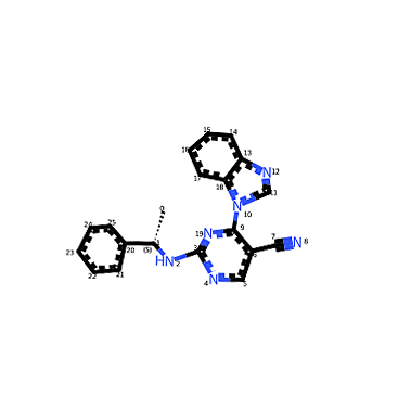 C[C@H](Nc1ncc(C#N)c(-n2cnc3ccccc32)n1)c1ccccc1